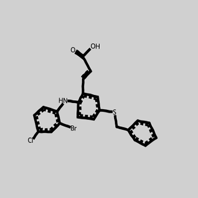 O=C(O)C=Cc1cc(SCc2ccccc2)ccc1Nc1ccc(Cl)cc1Br